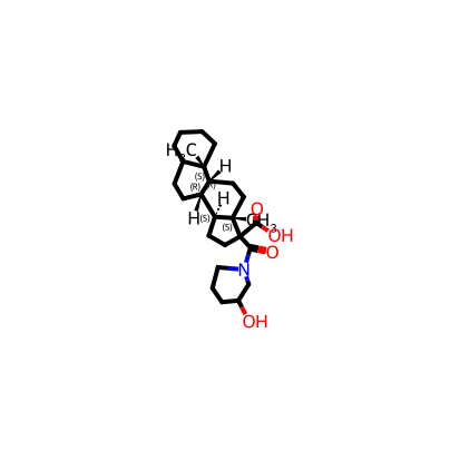 C[C@]12CCCCC1CC[C@@H]1[C@H]2CC[C@@]2(C)[C@H]1CCC2(C(=O)O)C(=O)N1CCCC(O)C1